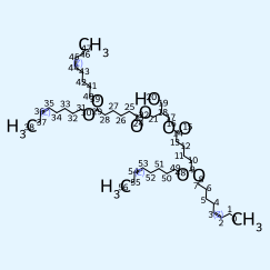 CC/C=C\CCCCOC(CCCCC(=O)OCC(CO)COC(=O)CCCCC(OCCCC/C=C\CC)OCCCC/C=C\CC)OCCCC/C=C\CC